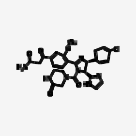 CC(C)(C)Oc1cc(C(=O)CC(N)=O)ccc1C1=N[C@@H](c2ccc(Cl)cc2)[C@@H](c2ncc[nH]2)N1C(=O)N1CCNC(=O)C1